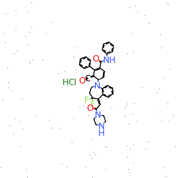 Cl.O=C=C1C(c2ccccc2)=C(C(=O)Nc2ccccc2)C=CC1N1CCC(F)(F)C(=CC(=O)N2CCNCC2)c2ccccc21